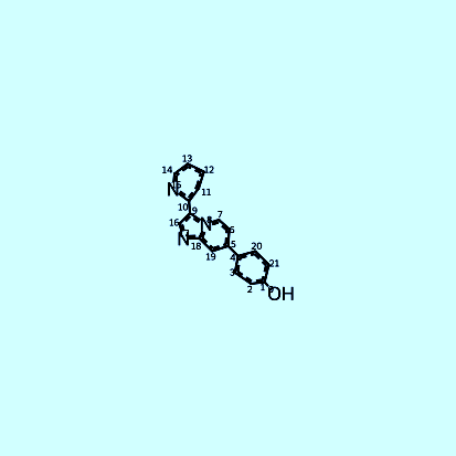 Oc1ccc(-c2ccn3c(-c4ccccn4)cnc3c2)cc1